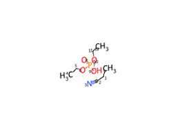 CCC#N.CCOP(=O)(O)OCC